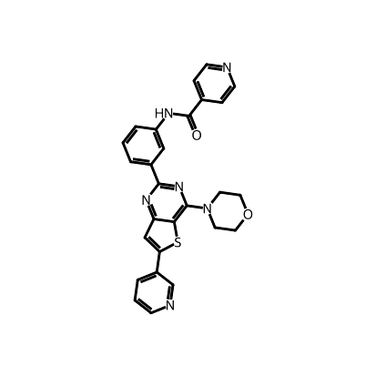 O=C(Nc1cccc(-c2nc(N3CCOCC3)c3sc(-c4cccnc4)cc3n2)c1)c1ccncc1